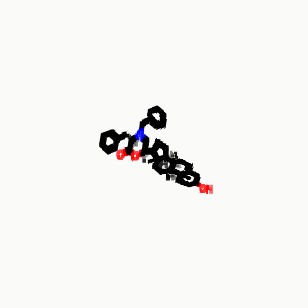 C[C@]12CCC(O)CC1=CC[C@@H]1[C@H]2CC[C@]2(C)C([C@]3(C)CN(Cc4ccccc4)[C@@H](Cc4ccccc4)C(=O)O3)CC[C@@H]12